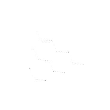 Cc1cc2c3c(n1)CCCC3CN(C)C2